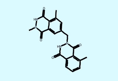 Cc1cc(Cn2[nH]c(=O)c3cccc(C)c3c2=O)cc2c(=O)n(C)[nH]c(=O)c12